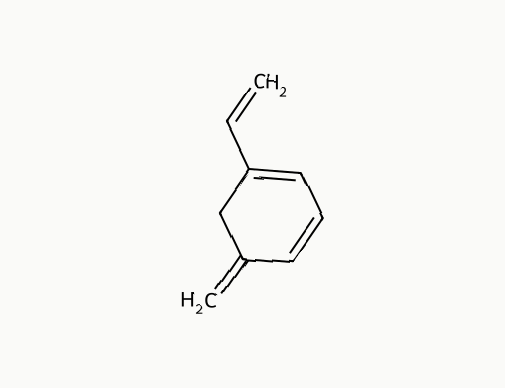 C=CC1=CC=CC(=C)C1